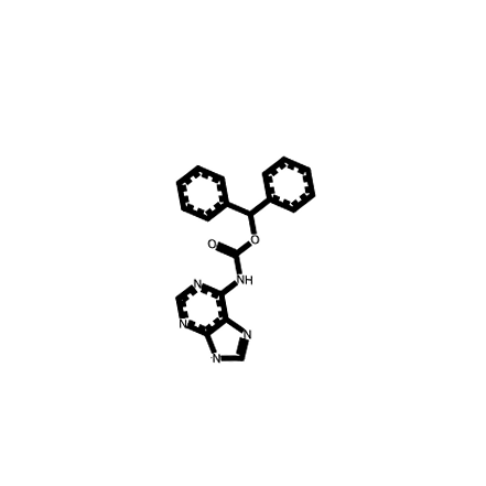 O=C(Nc1ncnc2c1N=C[N]2)OC(c1ccccc1)c1ccccc1